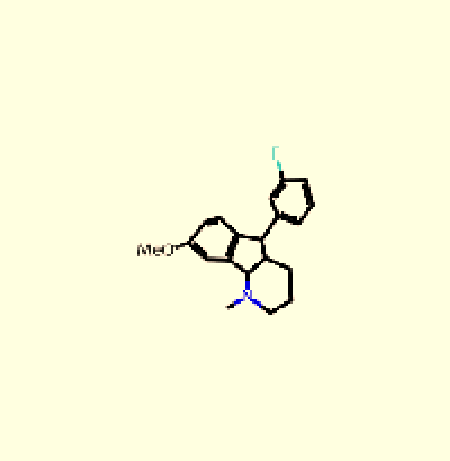 COc1ccc2c(c1)C1C(CCCN1C)C2c1cccc(F)c1